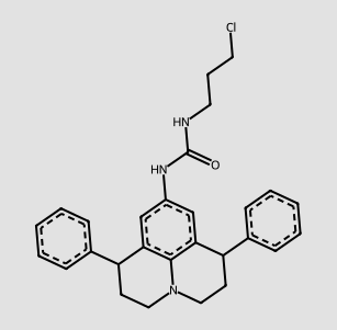 O=C(NCCCCl)Nc1cc2c3c(c1)C(c1ccccc1)CCN3CCC2c1ccccc1